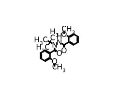 COc1ccccc1C(=O)NN(C(=O)c1ccccc1OC)C(C)(C)C